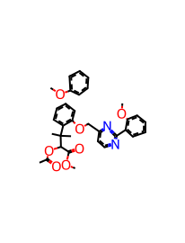 COC(=O)C(OC(C)=O)C(C)(C)c1ccccc1OCc1ccnc(-c2ccccc2OC)n1.COc1ccccc1